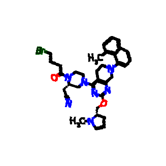 Cc1cccc2cccc(N3CCc4c(nc(OC[C@@H]5CCCN5C)nc4N4CCN(C(=O)CCCBr)[C@@H](CC#N)C4)C3)c12